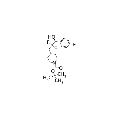 CC(C)(C)OC(=O)N1CCC(CC(F)(F)[C@@H](O)c2ccc(F)cc2)CC1